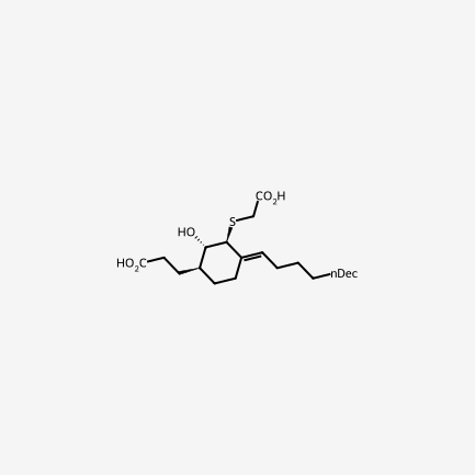 CCCCCCCCCCCCC/C=C1\CC[C@@H](CCC(=O)O)[C@H](O)[C@H]1SCC(=O)O